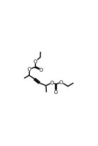 CCOC(=O)OC(C)C#CC(C)OC(=O)OCC